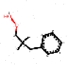 CC(C)(COO)Cc1ccccc1